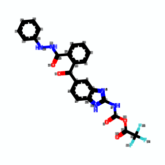 O=C(Nc1nc2cc(C(=O)c3ccccc3C(=O)NNc3ccccc3)ccc2[nH]1)OC(=O)C(F)(F)F